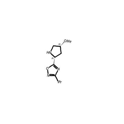 CO[C@H]1CN[C@@H](c2nc(C(C)C)no2)C1